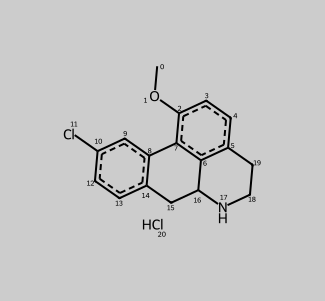 COc1ccc2c3c1-c1cc(Cl)ccc1CC3NCC2.Cl